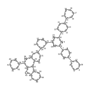 c1ccc(-c2ccc(-c3nc(-c4ccc(-c5ccccc5)cc4)nc(-c4cccc(-c5ccc6c(c5)nc(-c5ccccc5)c5oc7ccccc7c56)c4)n3)cc2)cc1